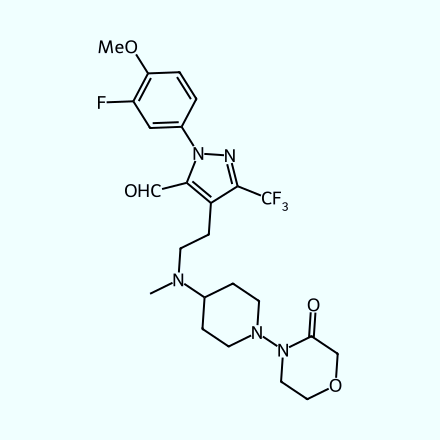 COc1ccc(-n2nc(C(F)(F)F)c(CCN(C)C3CCN(N4CCOCC4=O)CC3)c2C=O)cc1F